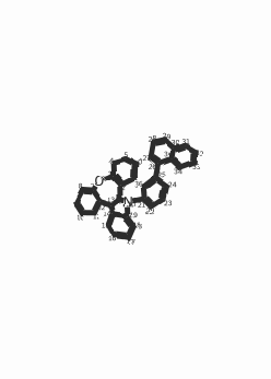 C1=CC2=C(CC1)Oc1ccccc1C1c3ccccc3N(c3cccc(-c4cccc5ccccc45)c3)C21